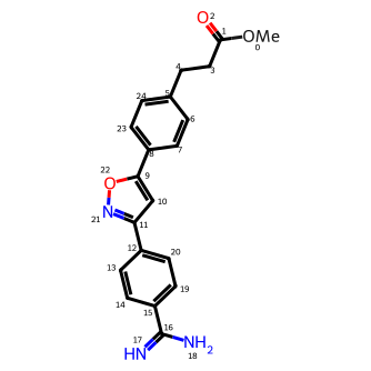 COC(=O)CCc1ccc(-c2cc(-c3ccc(C(=N)N)cc3)no2)cc1